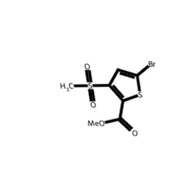 COC(=O)c1sc(Br)cc1S(C)(=O)=O